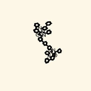 c1ccc(-c2cccc(-n3c4ccccc4c4ccc5oc6c(-c7cccc(-c8ccc(-c9ccc(-c%10nc(-c%11ccccc%11)c%11oc%12ccc%13c%14ccccc%14n(-c%14ccccc%14)c%13c%12c%11n%10)cc9)cc8)c7)nc(-c7ccccc7)nc6c5c43)c2)cc1